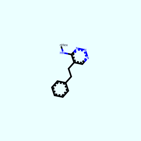 CCCCCCNc1nnncc1CCc1ccccc1